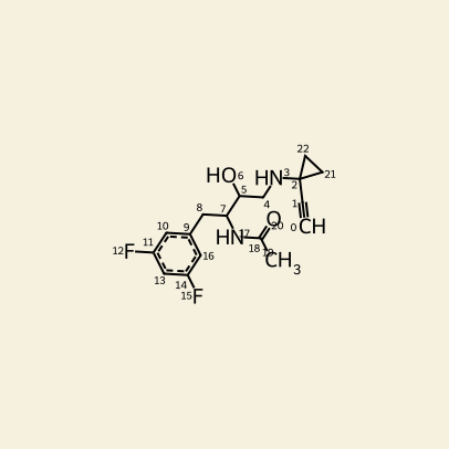 C#CC1(NCC(O)C(Cc2cc(F)cc(F)c2)NC(C)=O)CC1